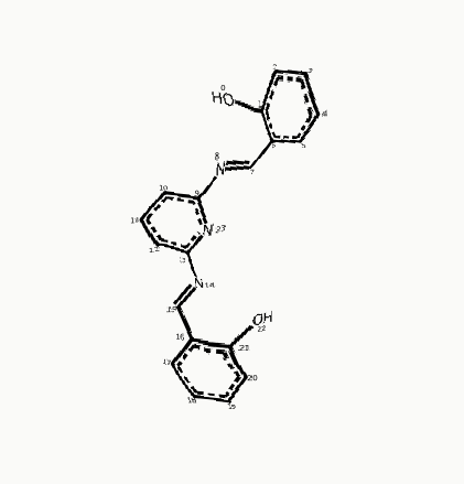 Oc1ccccc1/C=N/c1cccc(/N=C/c2ccccc2O)n1